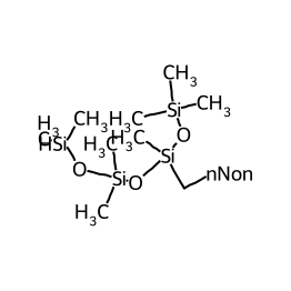 CCCCCCCCCC[Si](C)(O[Si](C)(C)C)O[Si](C)(C)O[SiH](C)C